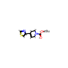 CC(C)(C)OC(=O)N1CC=C(c2cscn2)CC1